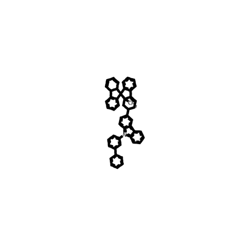 CC12CC(c3ccc4c(c3)c3ccccc3n4-c3cccc(-c4ccccc4)c3)CC=C1c1ccccc1C21c2ccccc2C2C=CC=CC21